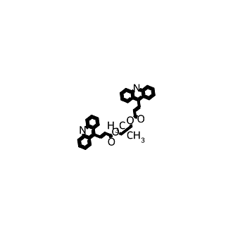 CC(C)(COC(=O)/C=C/c1c2ccccc2nc2ccccc12)COC(=O)/C=C/c1c2ccccc2nc2ccccc12